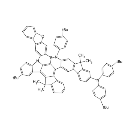 CC(C)(C)c1ccc(N2B3c4cc5oc6ccccc6c5cc4-n4c5ccc(C(C)(C)C)cc5c5c6c(c(c3c54)-c3cc4c(cc32)C(C)(C)c2cc(N(c3ccc(C(C)(C)C)cc3)c3ccc(C(C)(C)C)cc3)ccc2-4)-c2ccccc2C6(C)C)cc1